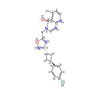 Cc1ccnc2ncn(Cc3nc([C@H]4C[C@H](c5ccc(Cl)cc5)C4)no3)c(=O)c12